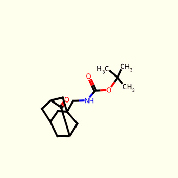 CC(C)(C)OC(=O)NCC12CC3CC(C1)C(=O)C(C3)C2